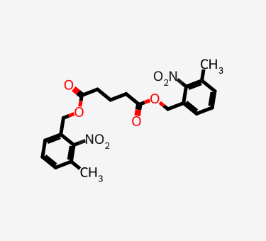 Cc1cccc(COC(=O)CCCC(=O)OCc2cccc(C)c2[N+](=O)[O-])c1[N+](=O)[O-]